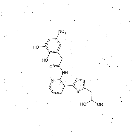 O=C(Cc1cc([N+](=O)[O-])cc(O)c1O)Nc1ncccc1-c1ccc(CC(O)O)s1